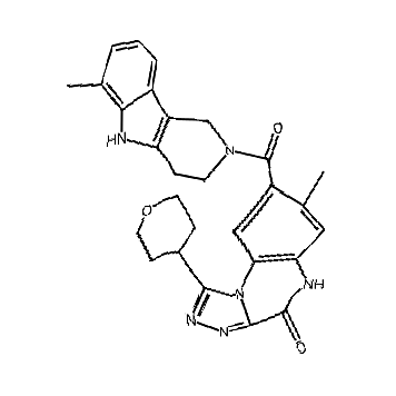 Cc1cc2[nH]c(=O)c3nnc(C4CCOCC4)n3c2cc1C(=O)N1CCc2[nH]c3c(C)cccc3c2C1